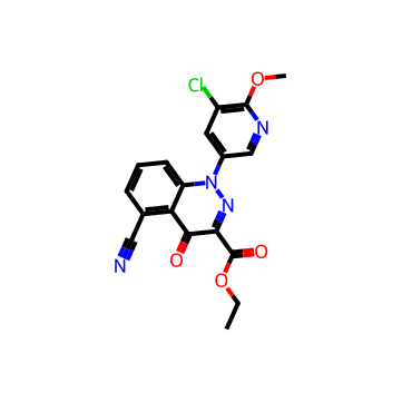 CCOC(=O)c1nn(-c2cnc(OC)c(Cl)c2)c2cccc(C#N)c2c1=O